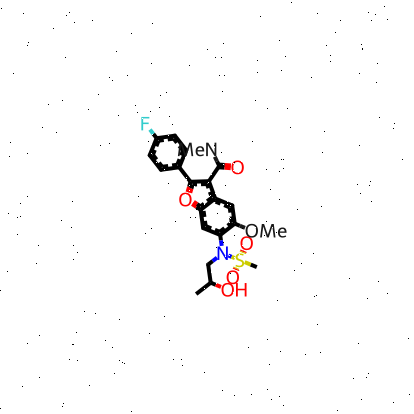 CNC(=O)c1c(-c2ccc(F)cc2)oc2cc(N(CC(C)O)S(C)(=O)=O)c(OC)cc12